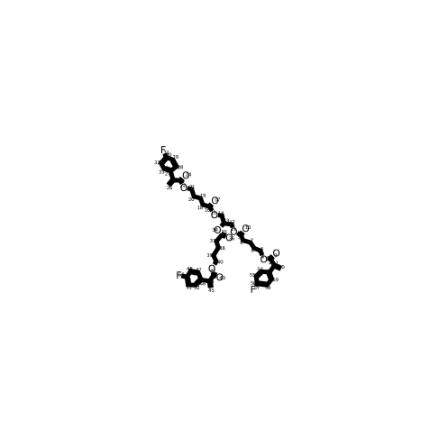 C=C(C(=O)OCCCCC(=O)OCC(COC(=O)CCCCOC(=O)C(=C)c1ccc(F)cc1)OC(=O)CCCCOC(=O)C(=C)c1ccc(F)cc1)c1ccc(F)cc1